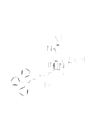 COC(=O)CNC(=O)[C@H](CSSCCCC[P+](c1ccccc1)(c1ccccc1)c1ccccc1)NC(=O)CC[C@H](N)C(=O)OC.[Br-]